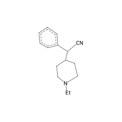 CCN1CCC(C(C#N)c2ccccc2)CC1